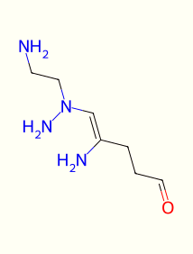 NCCN(N)/C=C(\N)CCC=O